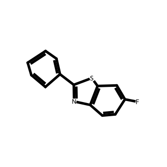 Fc1ccc2nc(-c3ccccc3)sc2c1